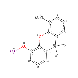 COc1cccc2c1Oc1c(OP)cccc1C2(C)C